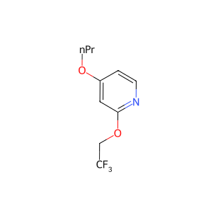 CCCOc1ccnc(OCC(F)(F)F)c1